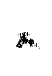 CCn1nccc1NCc1noc([C@H](CCCC2CCCCC2)CC(=O)NO)n1